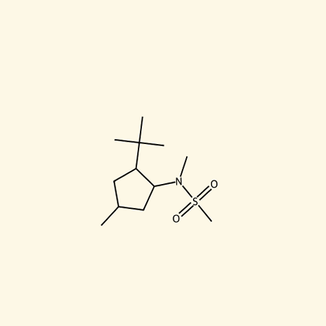 CC1CC(N(C)S(C)(=O)=O)C(C(C)(C)C)C1